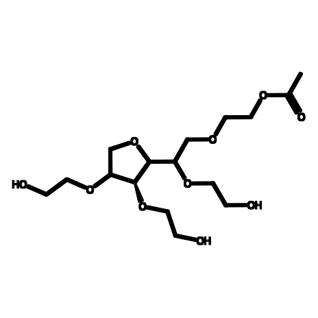 CC(=O)OCCOCC(OCCO)C1OCC(OCCO)[C@@H]1OCCO